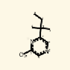 CCC(C)(C)c1cncc(Cl)n1